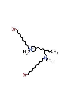 CCCC(CCCC1CC[N+](C)(CCCCCCCCCCBr)CC1)CCN(C)CCCCCCCCCCBr